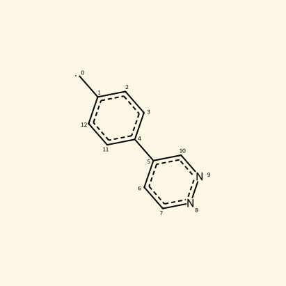 [CH2]c1ccc(-c2ccnnc2)cc1